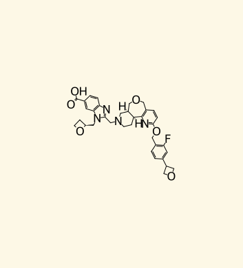 O=C(O)c1ccc2nc(CN3CC[C@@H]4c5nc(OCc6ccc(C7COC7)cc6F)ccc5COC[C@@H]4C3)n(C[C@@H]3CCO3)c2c1